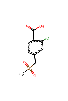 CS(=O)(=O)Cc1ccc(C(=O)O)c(Cl)c1